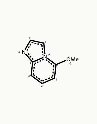 COc1cccc2nccn12